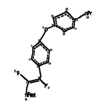 CCCCCC(F)=C(F)c1ccc(Oc2ccc(CCC)cc2)cc1